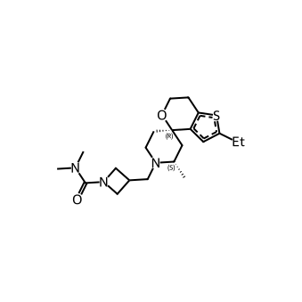 CCc1cc2c(s1)CCO[C@@]21CCN(CC2CN(C(=O)N(C)C)C2)[C@@H](C)C1